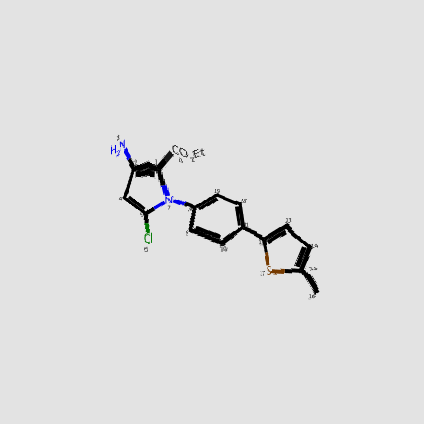 CCOC(=O)c1c(N)cc(Cl)n1-c1ccc(-c2ccc(C)s2)cc1